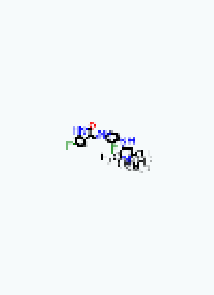 CN1C(C)(C)CC(Nc2ccc(N/C=C3\C(=O)Nc4cc(F)ccc43)cc2F)CC1(C)C